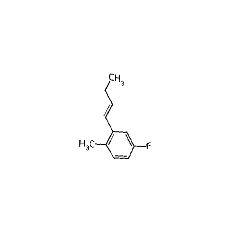 CCC=Cc1cc(F)ccc1C